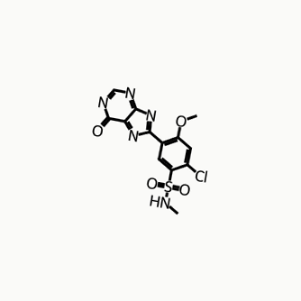 CNS(=O)(=O)c1cc(C2=NC3=NC=NC(=O)C3=N2)c(OC)cc1Cl